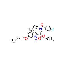 CCCCOc1ccc2c3c([nH]c2c1)C(C(=O)OCC)=CN(C(=O)c1ccc(F)cc1)CC3(C)C